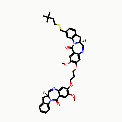 COc1cc2c(cc1OCCCOc1cc3c(cc1OC)C(=O)N1c4cc(CSCCC(C)(C)C)ccc4C[C@H]1C=N3)N=C[C@@H]1Cc3ccccc3N1C2=O